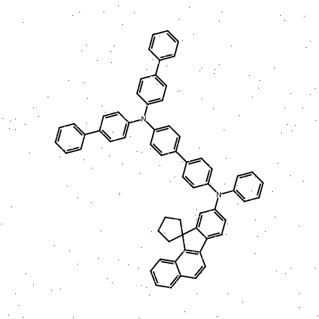 c1ccc(-c2ccc(N(c3ccc(-c4ccccc4)cc3)c3ccc(-c4ccc(N(c5ccccc5)c5ccc6c(c5)C5(CCCC5)c5c-6ccc6ccccc56)cc4)cc3)cc2)cc1